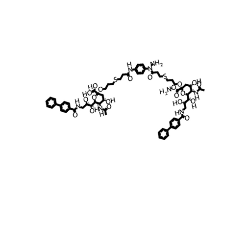 CC(=O)N[C@H]1C([C@H](O)[C@H](O)CNC(=O)c2ccc(-c3ccccc3)cc2)O[C@@](OCCCSCCC(=O)Nc2ccc(N(N)C(=O)CCSCCCO[C@]3(C(=O)ON)C[C@H](O)[C@@H](NC(C)=O)C([C@H](O)[C@H](O)CNC(=O)c4ccc(-c5ccccc5)cc4)O3)cc2)(C(=O)O)C[C@@H]1O